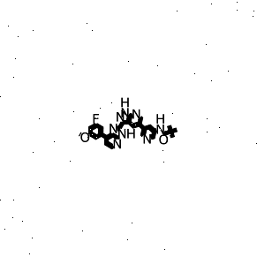 COc1cc(F)cc(-c2ccnc3[nH]c(-c4n[nH]c5ncc(-c6cncc(NC(=O)C(C)(C)C)c6)cc45)nc23)c1